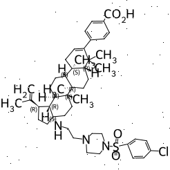 C=C(C)[C@@H]1CC[C@]2(NCCN3CCN(S(=O)(=O)c4ccc(Cl)cc4)CC3)CC[C@]3(C)[C@H](CC[C@@H]4[C@@]5(C)CC=C(c6ccc(C(=O)O)cc6)C(C)(C)[C@@H]5CC[C@]43C)[C@@H]12